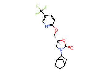 O=C1O[C@@H](COc2ccc(C(F)(F)F)cn2)CN1C1CC2CCC1C2